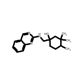 CC1CCC(O)(CNc2ncc3ccccc3n2)CC1(C)C